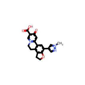 Cn1cc(-c2cc3c(c4c2OCC4)CCn2cc(C(=O)O)c(=O)cc2-3)cn1